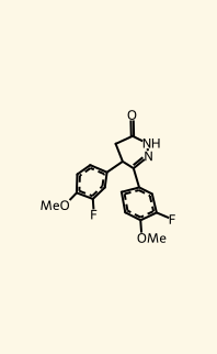 COc1ccc(C2=NNC(=O)CC2c2ccc(OC)c(F)c2)cc1F